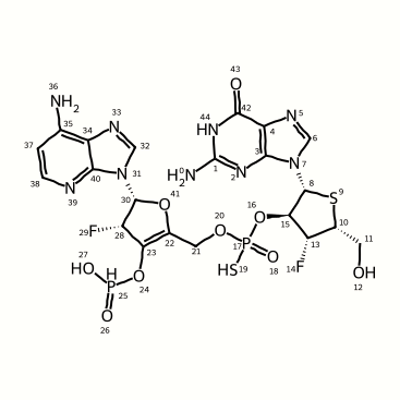 Nc1nc2c(ncn2[C@@H]2S[C@H](CO)[C@H](F)[C@H]2OP(=O)(S)OCC2=C(O[PH](=O)O)[C@H](F)[C@H](n3cnc4c(N)ccnc43)O2)c(=O)[nH]1